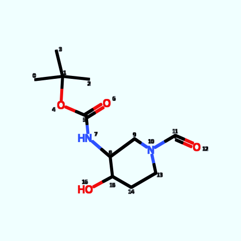 CC(C)(C)OC(=O)NC1CN([C]=O)CCC1O